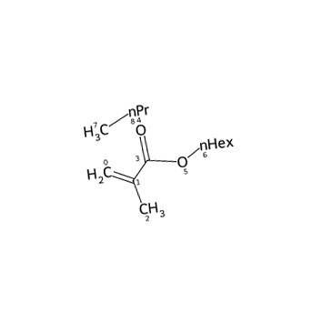 C=C(C)C(=O)OCCCCCC.CCCC